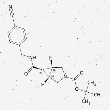 CC(C)(C)OC(=O)N1C[C@@H]2[C@H](C1)[C@H]2C(=O)NCc1ccc(C#N)cc1